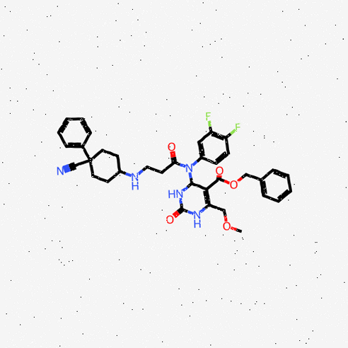 COCC1=C(C(=O)OCc2ccccc2)C(N(C(=O)CCNC2CCC(C#N)(c3ccccc3)CC2)c2ccc(F)c(F)c2)NC(=O)N1